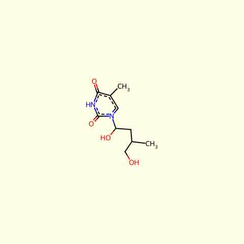 Cc1cn(C(O)CC(C)CO)c(=O)[nH]c1=O